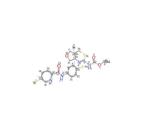 CC(C)(C)OC(=O)NC1=N[C@@]2(c3cc(NC(=O)c4ccc(F)cn4)ccc3F)COC[C@H]2CS1